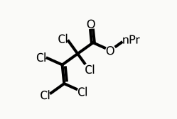 CCCOC(=O)C(Cl)(Cl)C(Cl)=C(Cl)Cl